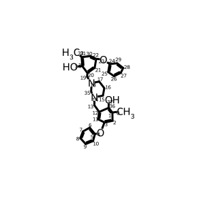 Cc1cc(Oc2ccccc2)cc(CN2CCCN(Cc3cc(Oc4ccccc4)cc(C)c3O)C2)c1O